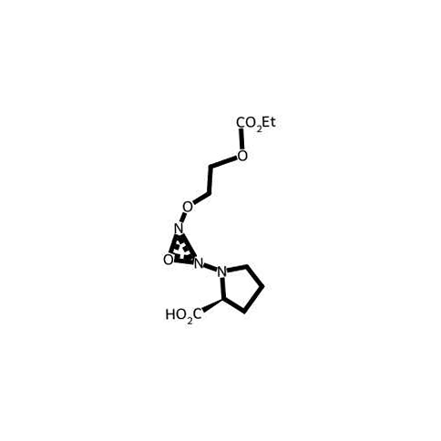 CCOC(=O)OCCOn1on1N1CCC[C@H]1C(=O)O